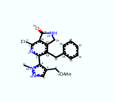 CCc1nc(-c2c(COC)cnn2C)c(Cc2ccccc2)c2c1C(=O)NC2